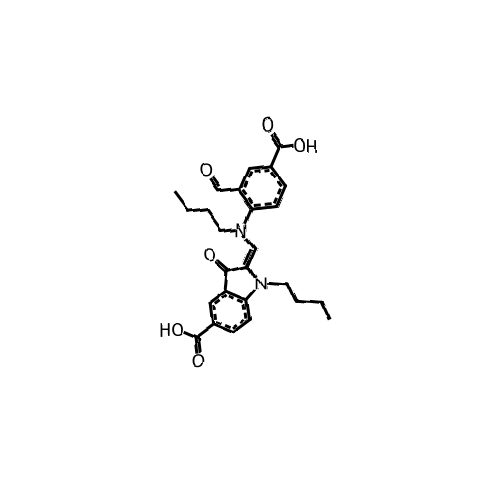 CCCCN(/C=C1\C(=O)c2cc(C(=O)O)ccc2N1CCCC)c1ccc(C(=O)O)cc1C=O